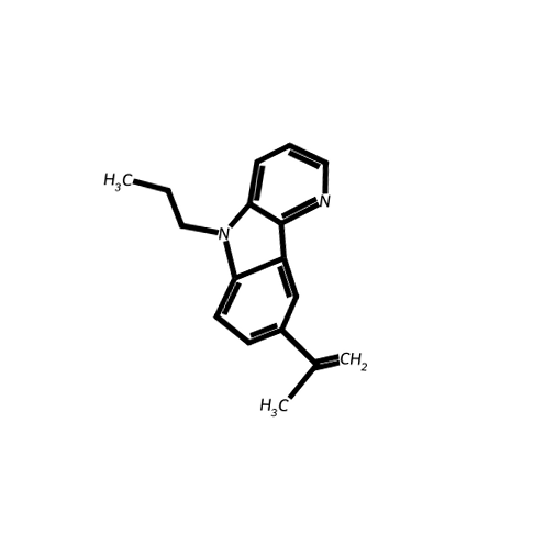 C=C(C)c1ccc2c(c1)c1ncccc1n2CCC